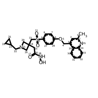 Cc1cc(COc2ccc(S(=O)(=O)CC3(CC(=O)NO)CN(CC4CC4)C3)cc2)c2ccccc2n1